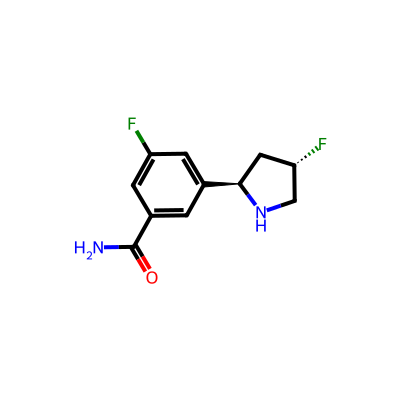 NC(=O)c1cc(F)cc([C@H]2C[C@H](F)CN2)c1